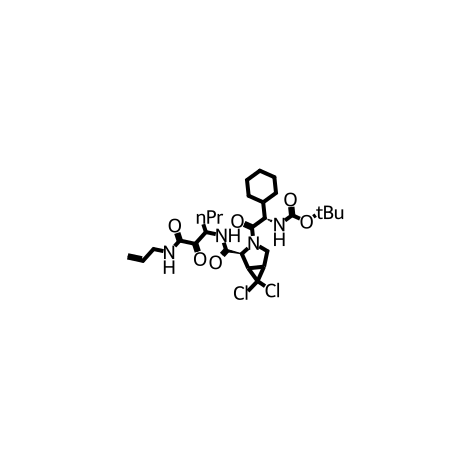 C=CCNC(=O)C(=O)C(CCC)NC(=O)[C@@H]1C2C(CN1C(=O)[C@@H](NC(=O)OC(C)(C)C)C1CCCCC1)C2(Cl)Cl